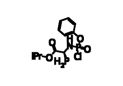 CC(C)OC(=O)[C@H](P)NP(=O)(Cl)Oc1ccccc1